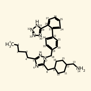 CCCCCc1nc(CC2CCC(CN)CC2)n(Cc2ccc(-c3ccccc3-c3nnn[nH]3)cc2)n1